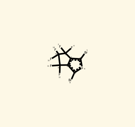 FC1(F)c2c(Br)sc(Br)c2C(F)(F)C1(F)F